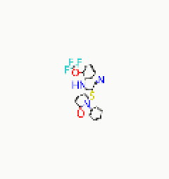 N#Cc1sc2c(ccc(=O)n2-c2ccccc2)c1Nc1ccccc1OC(F)(F)F